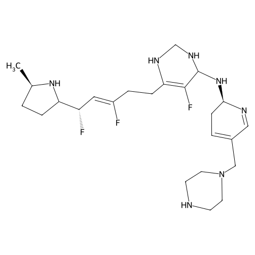 C[C@@H]1CCC([C@@H](F)/C=C(\F)CCC2=C(F)C(N[C@@H]3CC=C(CN4CCNCC4)C=N3)NCN2)N1